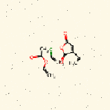 C=CC1=CC(=O)OC1=O.C=CCl.C=COC(C)=O